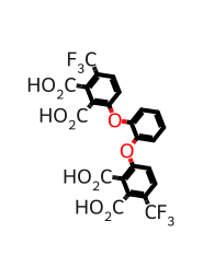 O=C(O)c1c(Oc2ccccc2Oc2ccc(C(F)(F)F)c(C(=O)O)c2C(=O)O)ccc(C(F)(F)F)c1C(=O)O